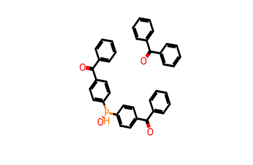 O=C(c1ccccc1)c1ccc([PH](=O)c2ccc(C(=O)c3ccccc3)cc2)cc1.O=C(c1ccccc1)c1ccccc1